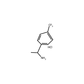 CC(N)c1ccc(C(F)(F)F)cc1.Cl